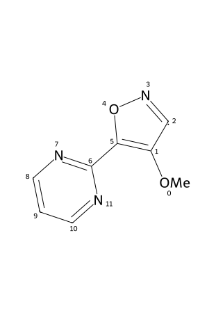 COc1[c]noc1-c1ncccn1